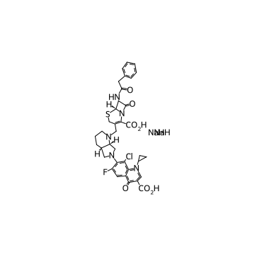 O=C(Cc1ccccc1)N[C@@H]1C(=O)N2C(C(=O)O)=C(CN3CCC[C@H]4CN(c5c(F)cc6c(=O)c(C(=O)O)cn(C7CC7)c6c5Cl)C[C@H]43)CS[C@H]12.[NaH].[NaH]